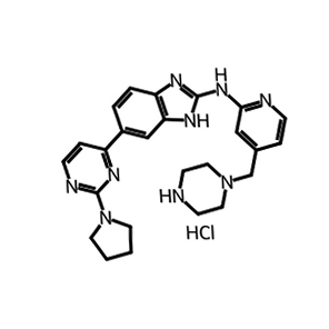 Cl.c1cc(CN2CCNCC2)cc(Nc2nc3ccc(-c4ccnc(N5CCCC5)n4)cc3[nH]2)n1